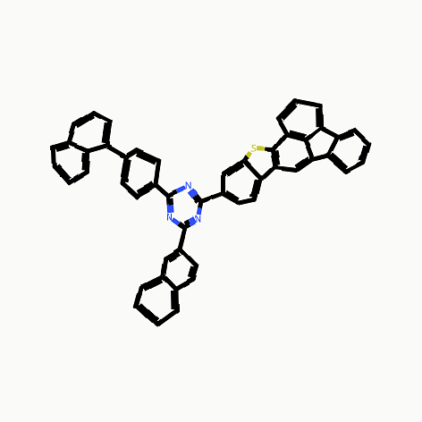 c1ccc2c(c1)-c1cccc3c1c-2cc1c2ccc(-c4nc(-c5ccc(-c6cccc7ccccc67)cc5)nc(-c5ccc6ccccc6c5)n4)cc2sc31